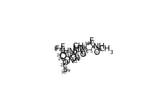 CC(=O)N[C@H]1CC[C@H](NC(=O)c2c(C)[nH]c3c(-c4cc(C(F)F)ccc4OCC4CC4)ncnc23)CC1F